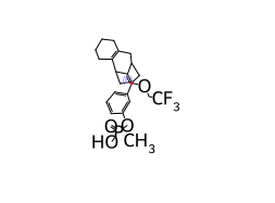 CP(=O)(O)Oc1cccc(/C(OCC(F)(F)F)=C2/C3CCCC2C2=C(CCCC2)C3)c1